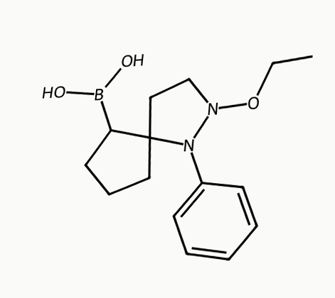 CCON1CCC2(CCCC2B(O)O)N1c1ccccc1